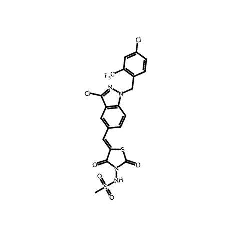 CS(=O)(=O)NN1C(=O)S/C(=C\c2ccc3c(c2)c(Cl)nn3Cc2ccc(Cl)cc2C(F)(F)F)C1=O